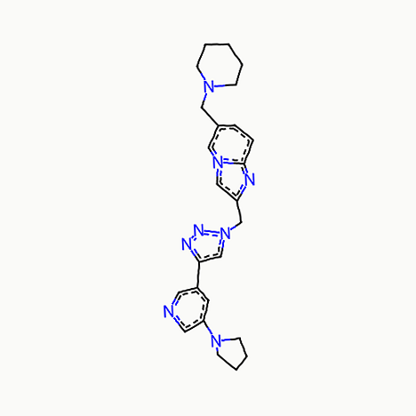 c1cc2nc(Cn3cc(-c4cncc(N5CCCC5)c4)nn3)cn2cc1CN1CCCCC1